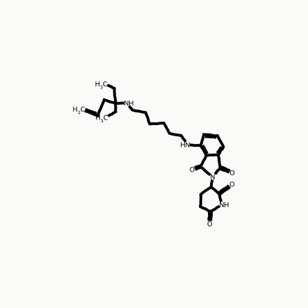 C=CCC(CC)(CC)NCCCCCCNc1cccc2c1C(=O)N(C1CCC(=O)NC1=O)C2=O